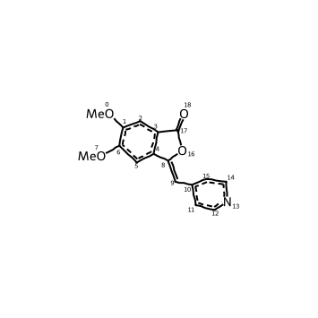 COc1cc2c(cc1OC)C(=Cc1ccncc1)OC2=O